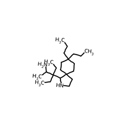 CCCC1(CCC)CCC2(CCNC2C(CC)(CC)C(C)N)CC1